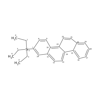 CC[Si](CC)(CC)c1ccc2c(ccc3c4ccccc4ccc23)c1